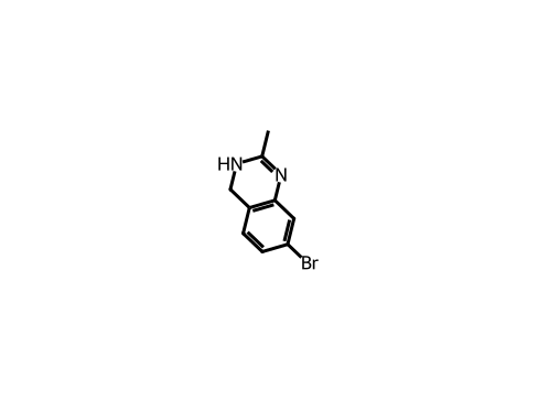 CC1=Nc2cc(Br)ccc2CN1